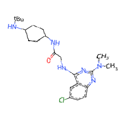 CN(C)c1nc(NCC(=O)NC2CCC(NC(C)(C)C)CC2)c2cc(Cl)ccc2n1